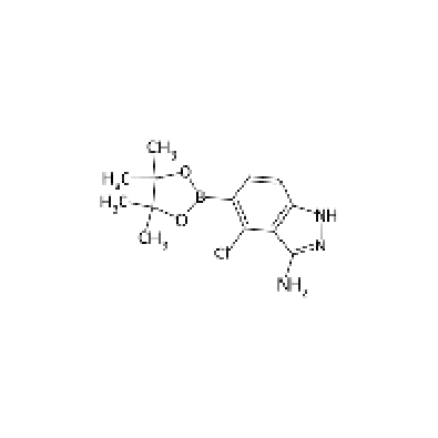 CC1(C)OB(c2ccc3[nH]nc(N)c3c2Cl)OC1(C)C